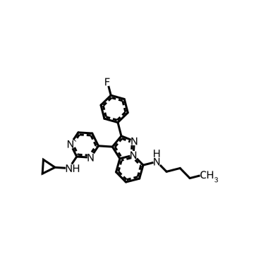 CCCCNc1cccc2c(-c3ccnc(NC4CC4)n3)c(-c3ccc(F)cc3)nn12